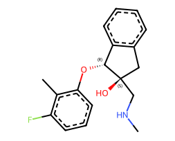 CNC[C@@]1(O)Cc2ccccc2[C@H]1Oc1cccc(F)c1C